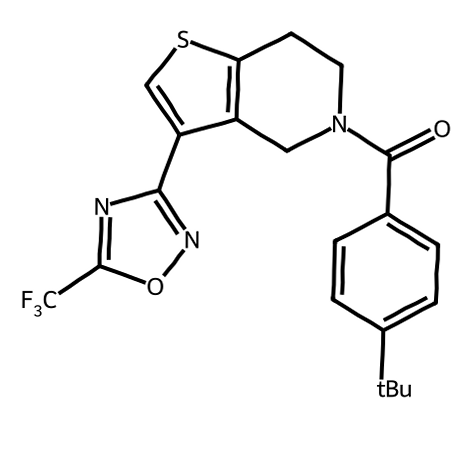 CC(C)(C)c1ccc(C(=O)N2CCc3scc(-c4noc(C(F)(F)F)n4)c3C2)cc1